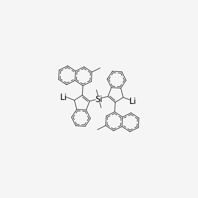 [Li][CH]1C(c2cc(C)cc3ccccc23)=C([Si](C)(C)C2=C(c3cc(C)cc4ccccc34)[CH]([Li])c3ccccc32)c2ccccc21